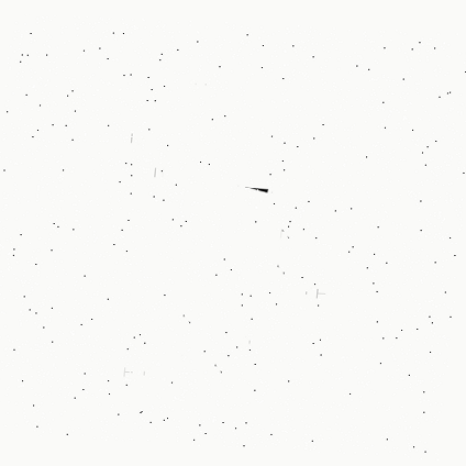 Cc1noc(-c2c3c(nn2C)[C@@]2(C)CCC(=O)[C@@H](C)[C@@H]2CC3)n1